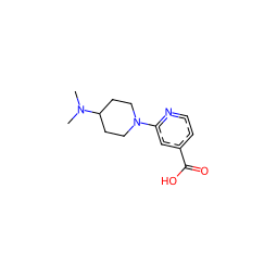 CN(C)C1CCN(c2cc(C(=O)O)ccn2)CC1